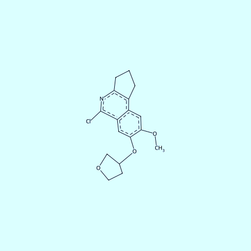 COc1cc2c3c(nc(Cl)c2cc1OC1CCOC1)CCC3